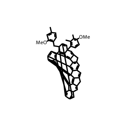 COc1cc(C)ccc1CC12C3=CC4(c5ccc(OC)c(C)c5C)C=C5Cc6cc7cc8c9c%10c%11c%12c(c%13c1c4c1c5c6c4c7c9c%12c4c1%13)C1=C2C(=CC(C=C%10C8)C1%11)C3